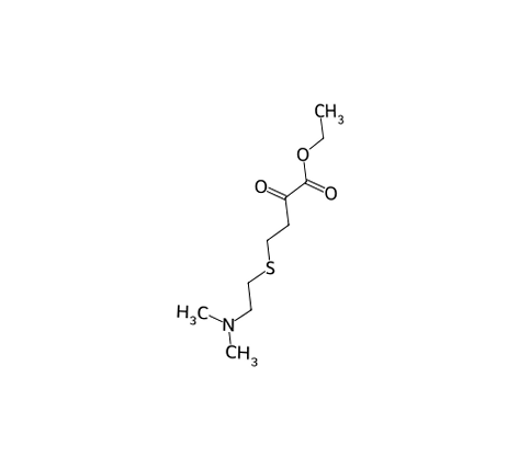 CCOC(=O)C(=O)CCSCCN(C)C